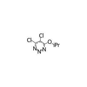 CC(C)Oc1nnnc(Cl)c1Cl